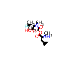 CN[C@@H](CC1CC1)C(=O)OCC(=O)N(C)[C@@H](CC(C)(C)F)C(=O)O